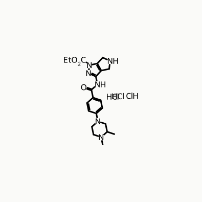 CCOC(=O)n1nc(NC(=O)c2ccc(N3CCN(C)C(C)C3)cc2)c2c1CNC2.Cl.Cl.Cl